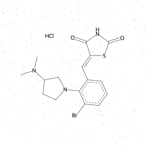 CN(C)C1CCN(c2c(Br)cccc2/C=C2\SC(=O)NC2=O)C1.Cl